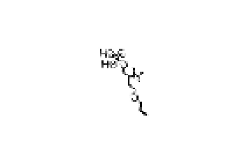 C=CCOCCC(COP(=O)(O)O)[N+](C)(C)C